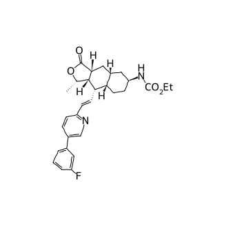 CCOC(=O)N[C@H]1CC[C@H]2[C@@H](C1)C[C@H]1C(=O)O[C@@H](C)[C@H]1[C@H]2/C=C/c1ccc(-c2cccc(F)c2)cn1